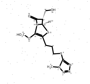 Cn1nnnc1SCCCC1=C(OC(=O)O)N2C(=O)[C@H](CO)[C@H]2S1